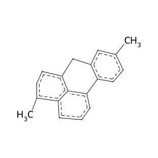 Cc1ccc2c(c1)Cc1ccc(C)c3cccc-2c13